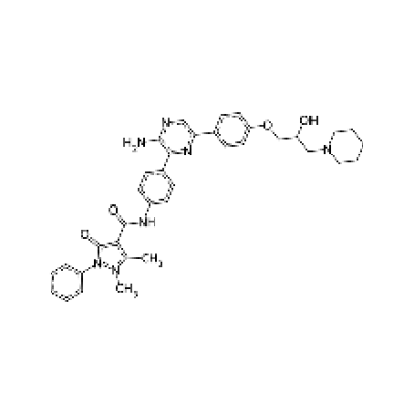 Cc1c(C(=O)Nc2ccc(-c3nc(-c4ccc(OCC(O)CN5CCCCC5)cc4)cnc3N)cc2)c(=O)n(-c2ccccc2)n1C